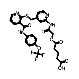 O=C(O)CCCC(=O)OCC(=O)Nc1cc(CSc2ncccc2C(=O)Nc2ccc(OC(F)(F)F)cc2)ccn1